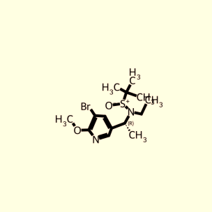 CCN([C@H](C)c1cnc(OC)c(Br)c1)[S+]([O-])C(C)(C)C